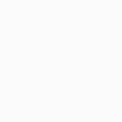 CCC(N)[SiH2]C(C)NCc1ccccc1